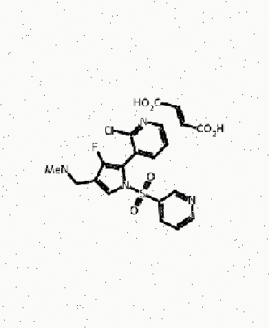 CNCc1cn(S(=O)(=O)c2cccnc2)c(-c2cccnc2Cl)c1F.O=C(O)C=CC(=O)O